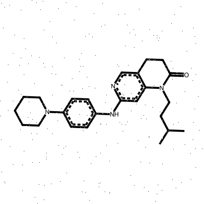 CC(C)CCN1C(=O)CCc2cnc(Nc3ccc(N4CCCCC4)cc3)cc21